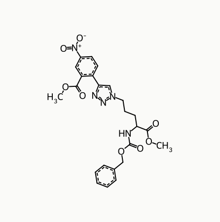 COC(=O)c1cc([N+](=O)[O-])ccc1-c1cn(CCCC(NC(=O)OCc2ccccc2)C(=O)OC)nn1